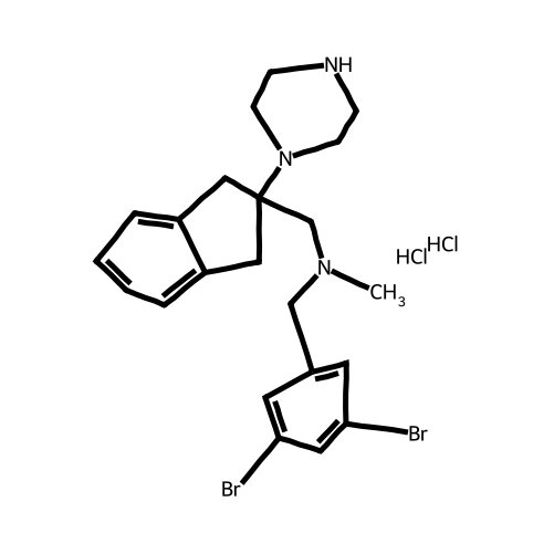 CN(Cc1cc(Br)cc(Br)c1)CC1(N2CCNCC2)Cc2ccccc2C1.Cl.Cl